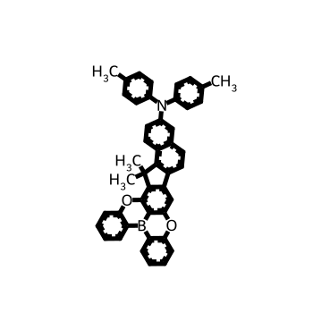 Cc1ccc(N(c2ccc(C)cc2)c2ccc3c4c(ccc3c2)-c2cc3c5c(c2C4(C)C)Oc2ccccc2B5c2ccccc2O3)cc1